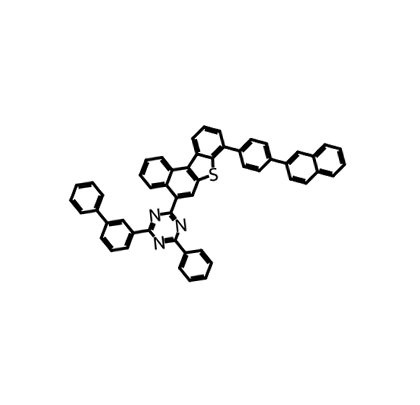 c1ccc(-c2cccc(-c3nc(-c4ccccc4)nc(-c4cc5sc6c(-c7ccc(-c8ccc9ccccc9c8)cc7)cccc6c5c5ccccc45)n3)c2)cc1